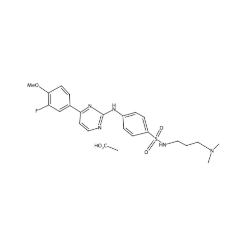 CC(=O)O.COc1ccc(-c2ccnc(Nc3ccc(S(=O)(=O)NCCCN(C)C)cc3)n2)cc1F